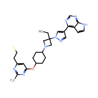 N#CCC1(n2cc(-c3ncnc4[nH]ccc34)cn2)CN(C2CCC(Oc3cc(CCF)nc(C(F)(F)F)n3)CC2)C1